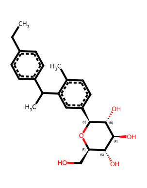 CCc1ccc(C(C)c2cc([C@@H]3O[C@H](CO)[C@@H](O)[C@H](O)[C@H]3O)ccc2C)cc1